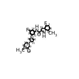 Cc1ccc(F)c2c1NC(C(=O)Nc1cc(F)cc(N3CC[C@@H](N4CCN(C)C(=O)C4)C3)c1)C2